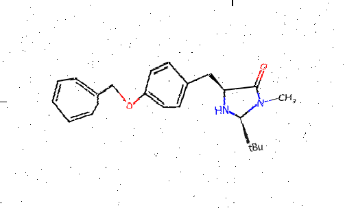 CN1C(=O)[C@H](Cc2ccc(OCc3ccccc3)cc2)N[C@@H]1C(C)(C)C